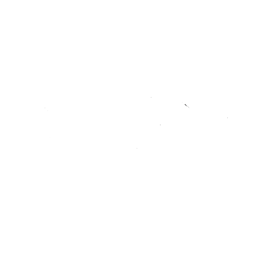 COc1nc(N[C@@H]2CCC(=O)N(C)C2)nc2[nH]cc(-c3cc(F)c4nc(C)n(CC(F)F)c4c3)c12